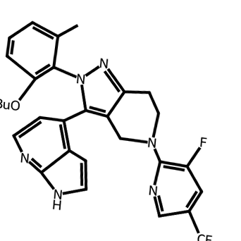 Cc1cccc(OCC(C)C)c1-n1nc2c(c1-c1ccnc3[nH]ccc13)CN(c1ncc(C(F)(F)F)cc1F)CC2